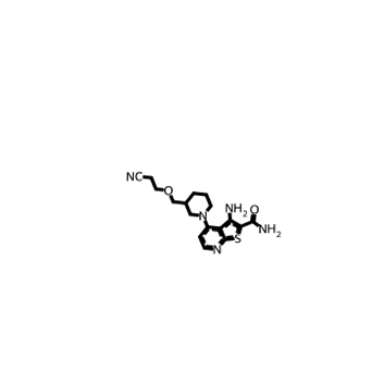 N#CCCOCC1CCCN(c2ccnc3sc(C(N)=O)c(N)c23)C1